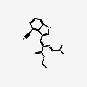 CCOC(=O)C(=Cc1c[nH]c2cccc(C#N)c12)N=CN(C)C